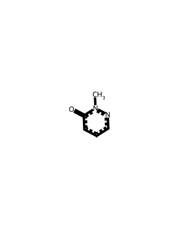 Cn1nc[c]cc1=O